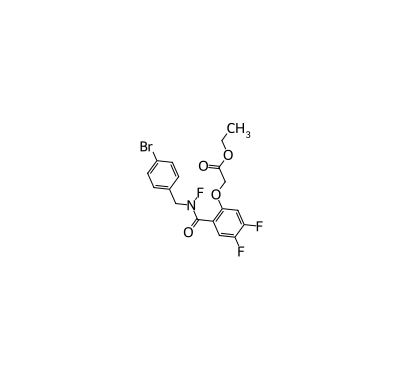 CCOC(=O)COc1cc(F)c(F)cc1C(=O)N(F)Cc1ccc(Br)cc1